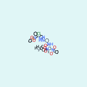 CC(C)(C)OC(=O)N1C[C@@H](N2C(=O)c3ccccc3C2=O)C[C@H]1C(=O)N[C@H]1CCC[C@@H](Nc2ncc(Cl)c(-c3cn(S(=O)(=O)c4ccccc4)c4ccccc34)n2)C1